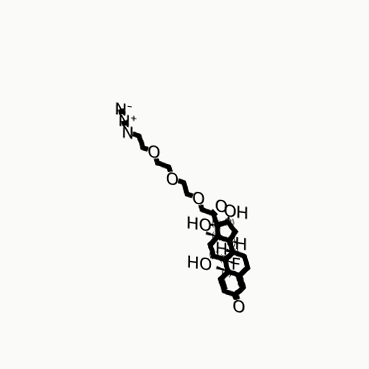 C[C@]12C=CC(=O)C=C1CC[C@H]1[C@@H]3C[C@@H](O)[C@](O)(C(=O)COCCOCCOCCN=[N+]=[N-])[C@@]3(C)C[C@H](O)[C@@]12F